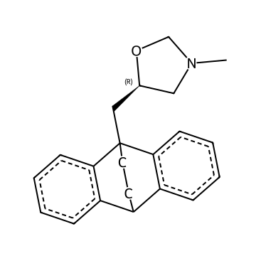 CN1CO[C@H](CC23CCC(c4ccccc42)c2ccccc23)C1